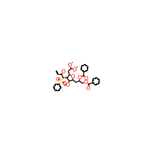 C=CC(=O)C([C@H]1C(CC(OC)OC)OC(CC(COC(=O)c2ccccc2)OC(=O)c2ccccc2)C1OC)S(=O)(=O)c1ccccc1